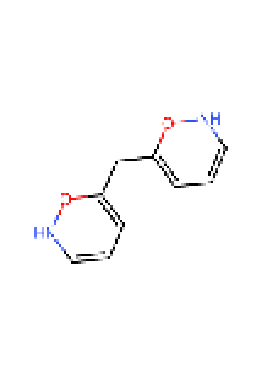 C1=CNOC(CC2=CC=CNO2)=C1